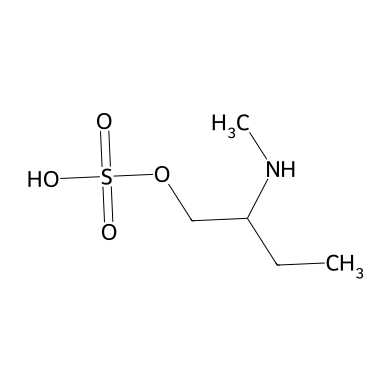 CCC(COS(=O)(=O)O)NC